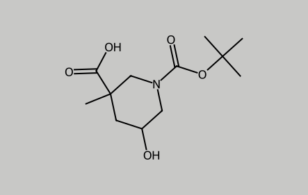 CC(C)(C)OC(=O)N1CC(O)CC(C)(C(=O)O)C1